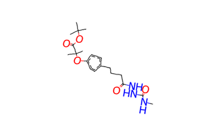 CNC(=O)NNC(=O)CCCc1ccc(OC(C)(C)C(=O)OC(C)(C)C)cc1